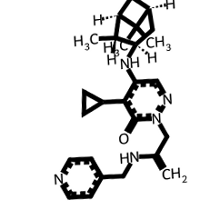 C=C(Cn1ncc(N[C@@H]2C[C@@H]3C[C@H]([C@H]2C)C3(C)C)c(C2CC2)c1=O)NCc1ccncc1